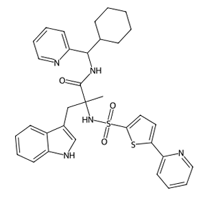 CC(Cc1c[nH]c2ccccc12)(NS(=O)(=O)c1ccc(-c2ccccn2)s1)C(=O)NC(c1ccccn1)C1CCCCC1